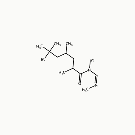 CCC(C)(C)CC(C)CC(C)C(=O)N(/C=N\C)C(C)C